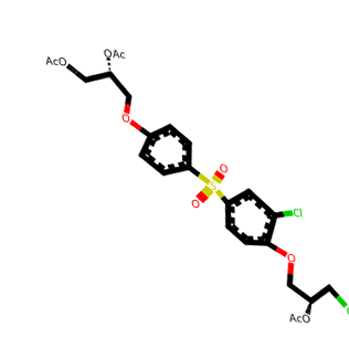 CC(=O)OC[C@@H](COc1ccc(S(=O)(=O)c2ccc(OC[C@@H](CCl)OC(C)=O)c(Cl)c2)cc1)OC(C)=O